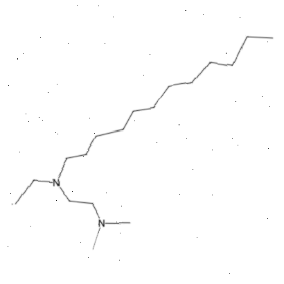 [CH2]CN(CCCCCCCCCCCC)CCN(C)C